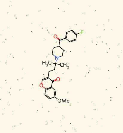 COc1ccc2occ(CCC(C)(C)N3CCC(C(=O)c4ccc(F)cc4)CC3)c(=O)c2c1